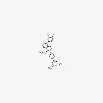 COc1c(-c2ccc(N3CC(C)O[C@H](C)C3)cc2)cnc2c(-c3ccc(F)c(Cl)c3)cccc12